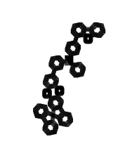 c1ccc(N(c2ccc(-c3cccc4c3oc3ccccc34)cc2)c2cccc(-c3ccc4c(c3)Oc3cc5c(cc3O4)C3(c4ccccc4-c4ccccc43)c3ccccc3-5)c2)cc1